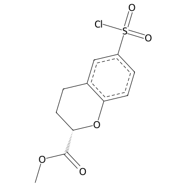 COC(=O)[C@@H]1CCc2cc(S(=O)(=O)Cl)ccc2O1